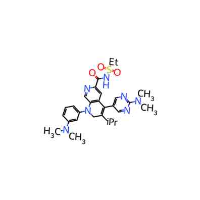 CCS(=O)(=O)NC(=O)c1cc2c(cn1)N(c1cccc(N(C)C)c1)CC(C(C)C)=C2c1cnc(N(C)C)nc1